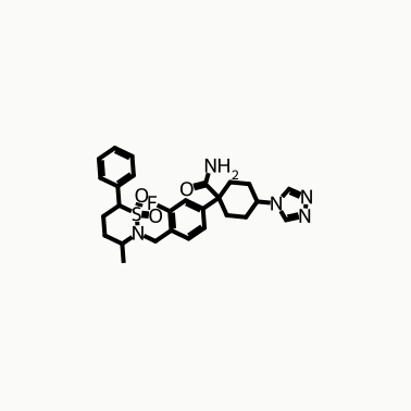 CC1CCC(c2ccccc2)S(=O)(=O)N1Cc1ccc(C2(C(N)=O)CCC(n3cnnc3)CC2)cc1F